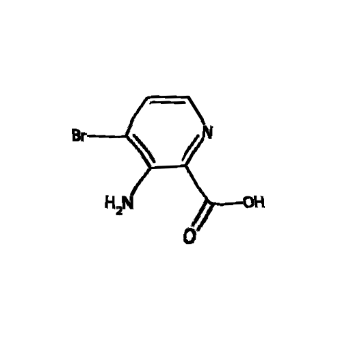 Nc1c(Br)ccnc1C(=O)O